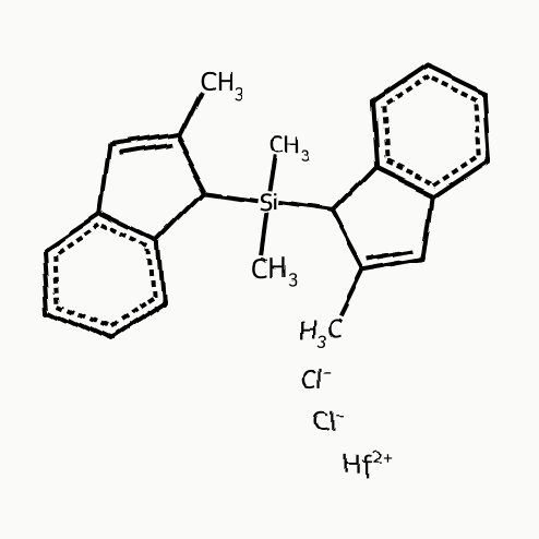 CC1=Cc2ccccc2C1[Si](C)(C)C1C(C)=Cc2ccccc21.[Cl-].[Cl-].[Hf+2]